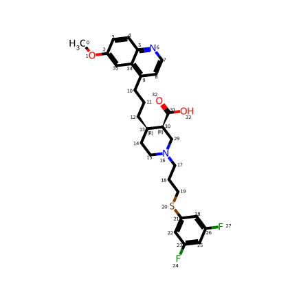 COc1ccc2nccc(CCC[C@@H]3CCN(CCCSc4cc(F)cc(F)c4)C[C@@H]3C(=O)O)c2c1